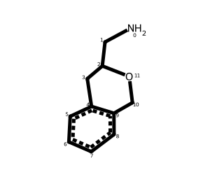 NCC1Cc2ccccc2CO1